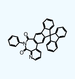 O=c1c2cc3c(cc2c2cccnc2c(=O)n1-c1ccccc1)C1(c2ccccc2-c2ccccc21)c1ccccc1-3